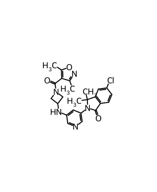 Cc1noc(C)c1C(=O)N1CC(Nc2cncc(N3C(=O)c4ccc(Cl)cc4C3(C)C)c2)C1